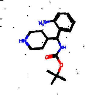 CC(C)(C)OC(=O)NC(c1ccccc1N)C1CCNCC1